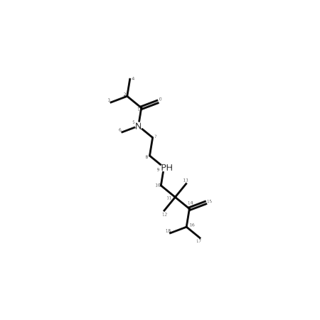 C=C(C(C)C)N(C)CCPCC(C)(C)C(=C)C(C)C